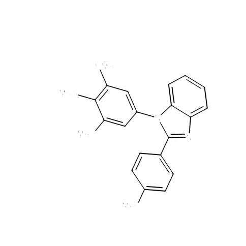 COc1cc(-n2c(-c3ccc(SC)cc3)nc3ccccc32)cc(OC)c1OC